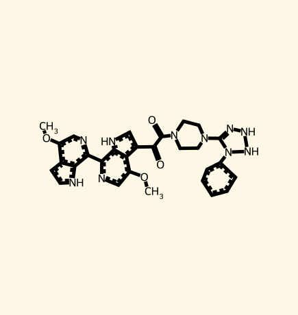 COc1cnc(-c2ncc(OC)c3c(C(=O)C(=O)N4CCN(C5=NNNN5c5ccccc5)CC4)c[nH]c23)c2[nH]ccc12